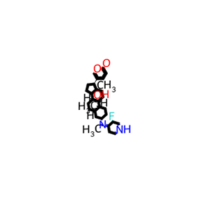 CN(C1CCNC[C@H]1F)[C@H]1CC[C@@]2(C)[C@H](CC[C@@H]3[C@@H]2CC[C@]2(C)[C@@H](c4ccc(=O)oc4)CC[C@]32O)C1